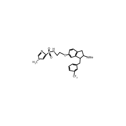 CNC1Cc2ccc(OCCNS(=O)(=O)c3cn(C)cn3)cc2C1Cc1cccc(C(F)(F)F)c1